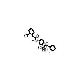 NS(=O)(=O)c1cc(NC(=O)Cc2ccccc2Cl)ccc1OCc1ccccc1